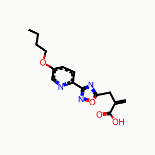 C=C(Cc1nc(-c2ccc(OCCCC)cn2)no1)C(=O)O